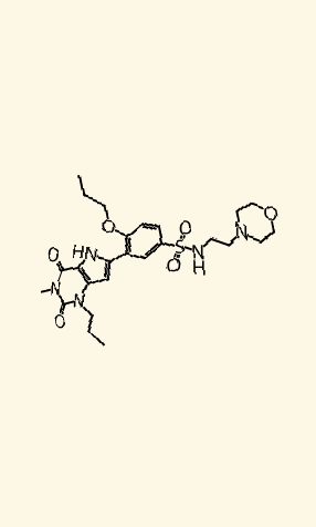 CCCOc1ccc(S(=O)(=O)NCCN2CCOCC2)cc1-c1cc2c([nH]1)c(=O)n(C)c(=O)n2CCC